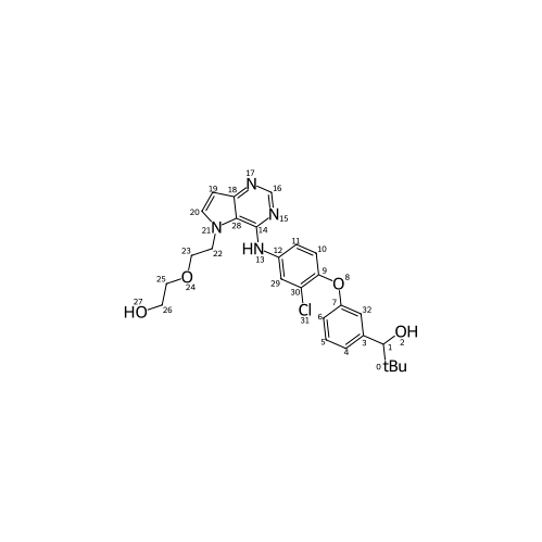 CC(C)(C)C(O)c1cccc(Oc2ccc(Nc3ncnc4ccn(CCOCCO)c34)cc2Cl)c1